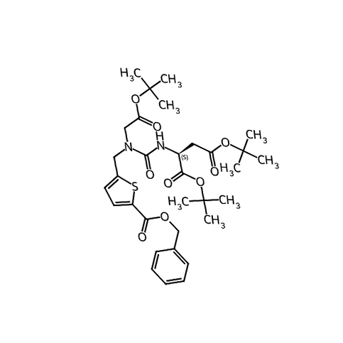 CC(C)(C)OC(=O)C[C@H](NC(=O)N(CC(=O)OC(C)(C)C)Cc1ccc(C(=O)OCc2ccccc2)s1)C(=O)OC(C)(C)C